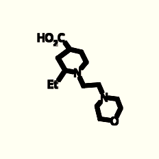 CCC1CC(C(=O)O)CCN1CCN1CCOCC1